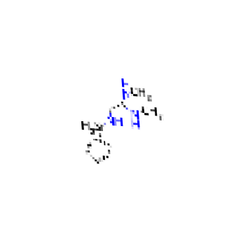 CNC(CN[SiH2]c1ccccc1)NC